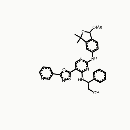 COC1OC(C)(C)c2cc(Nc3ncc(-c4nnc(-c5cccnc5)o4)c(N[C@H](CO)c4ccccc4)n3)ccc21